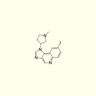 CN1CCC(n2cnc3cnc4ccc(I)cc4c32)C1